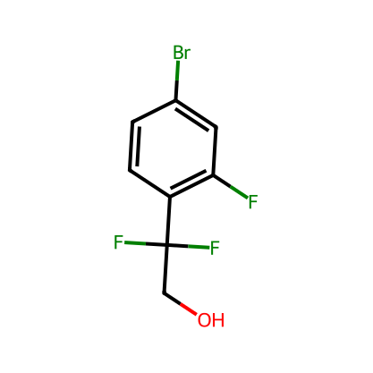 OCC(F)(F)c1ccc(Br)cc1F